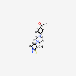 CCC(=O)c1ccc(N2CCCN(c3cc[nH]c(=S)c3C#N)CC2)cc1